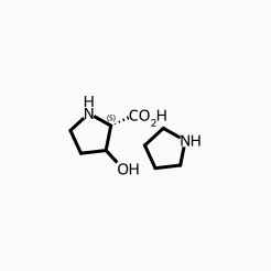 C1CCNC1.O=C(O)[C@H]1NCCC1O